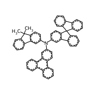 CC1(C)c2ccccc2-c2cc(N(c3ccc4c(c3)-c3ccccc3C43c4ccccc4-c4ccccc43)c3ccc4c5ccccc5c5ccccc5c4c3)ccc21